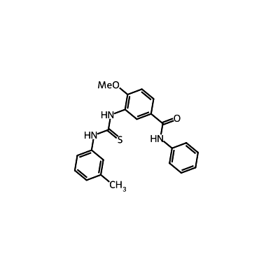 COc1ccc(C(=O)Nc2ccccc2)cc1NC(=S)Nc1cccc(C)c1